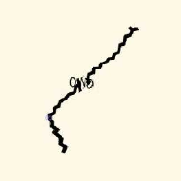 CCCCCCCC/C=C\CCCCCCCC(=O)C(C)(C)[N+](C)(C)C(=O)CCCCCCCCCCCCCCC(C)C